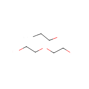 CCOC(=O)CCO.OCCOCCO